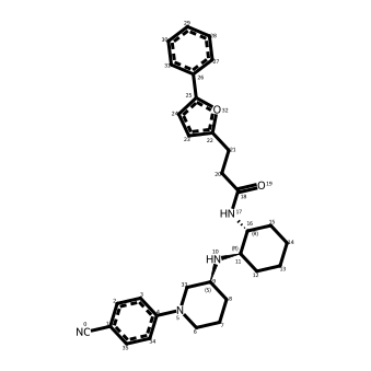 N#Cc1ccc(N2CCC[C@H](N[C@@H]3CCCC[C@H]3NC(=O)CCc3ccc(-c4ccccc4)o3)C2)cc1